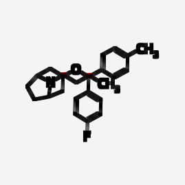 CCCCN1C2CCC1CC(OC(c1ccc(C)cc1)c1ccc(F)cc1)C2